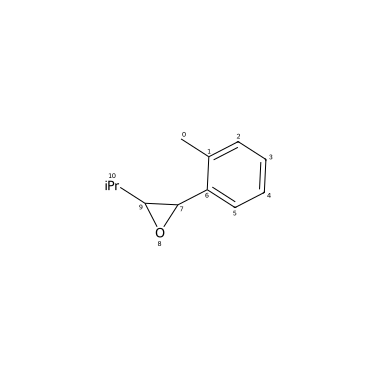 Cc1ccccc1C1OC1C(C)C